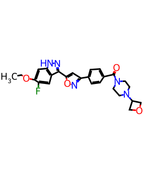 CCOc1cc2[nH]nc(-c3cc(-c4ccc(C(=O)N5CCN(C6COC6)CC5)cc4)no3)c2cc1F